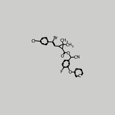 CC1(C)C(C=C(Br)c2ccc(Cl)cc2)C1C(=O)OC(C#N)c1ccc(F)c(Oc2ccccc2)c1